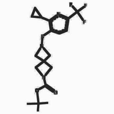 CC(C)(C)OC(=O)N1CC2(CN(Sc3ccc(C(F)(F)F)nc3C3CC3)C2)C1